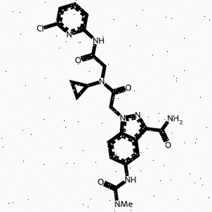 CNC(=O)Nc1ccc2c(c1)c(C(N)=O)nn2CC(=O)N(CC(=O)Nc1cccc(Cl)n1)C1CC1